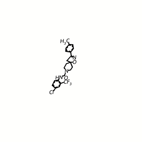 Cc1ccc(C2=NOC3(CCN(C(=O)Nc4ccc(Cl)cc4C(F)(F)F)CC3)C2)cc1